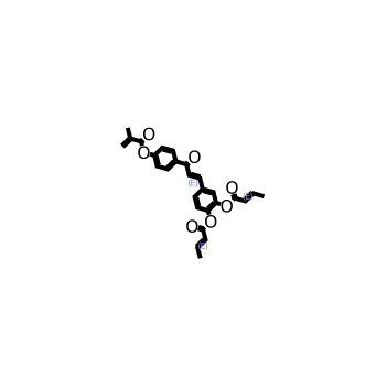 C=C(C)C(=O)Oc1ccc(C(=O)/C=C/c2ccc(OC(=O)/C=C/C)c(OC(=O)/C=C/C)c2)cc1